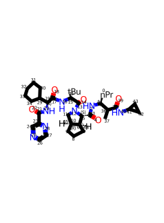 CCC[C@H](NC(=O)[C@@H]1[C@H]2CCC[C@H]2CN1C(=O)[C@@H](NC(=O)[C@@H](NC(=O)c1cnccn1)C1CCCCC1)C(C)(C)C)C(C)C(=O)NC1CC1